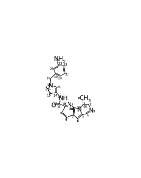 C[C@@H]1CN=Cc2cc3ccc(C(=O)Nc4cnn(Cc5cccc(N)c5)c4)nc3n21